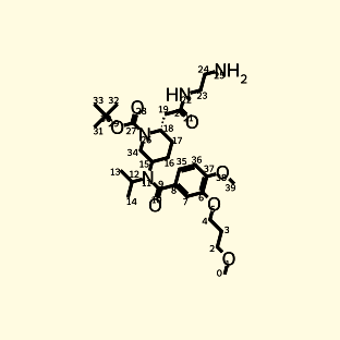 COCCCOc1cc(C(=O)N(C(C)C)C2CC[C@@H](CC(=O)NCCN)N(C(=O)OC(C)(C)C)C2)ccc1OC